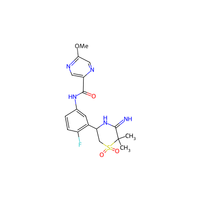 COc1cnc(C(=O)Nc2ccc(F)c(C3CS(=O)(=O)C(C)(C)C(=N)N3)c2)cn1